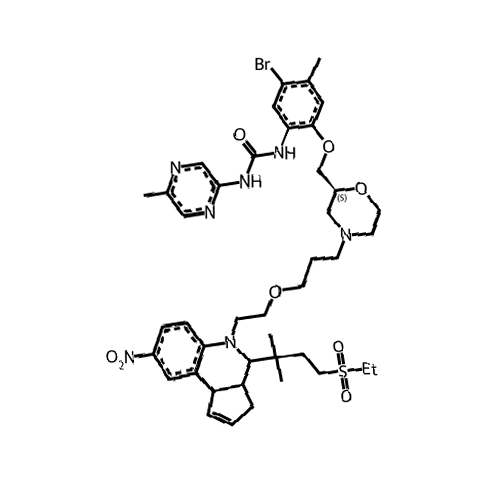 CCS(=O)(=O)CCC(C)(C)C1C2CC=CC2c2cc([N+](=O)[O-])ccc2N1CCOCCCN1CCO[C@H](COc2cc(C)c(Br)cc2NC(=O)Nc2cnc(C)cn2)C1